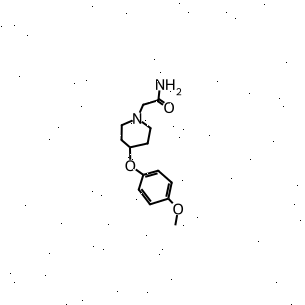 COc1ccc(OC2CCN(CC(N)=O)CC2)cc1